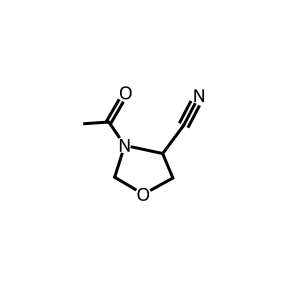 CC(=O)N1COCC1C#N